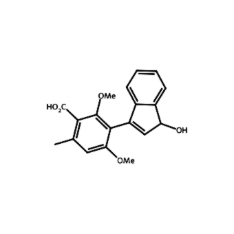 COc1cc(C)c(C(=O)O)c(OC)c1C1=CC(O)c2ccccc21